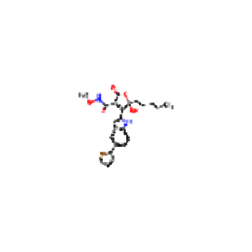 CCCCCC1(O)OC(=O)C(C(=O)NOC)=C1c1cc2cc(-c3cccs3)ccc2[nH]1